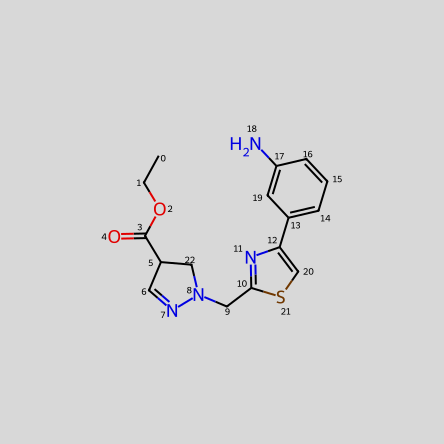 CCOC(=O)C1C=NN(Cc2nc(-c3cccc(N)c3)cs2)C1